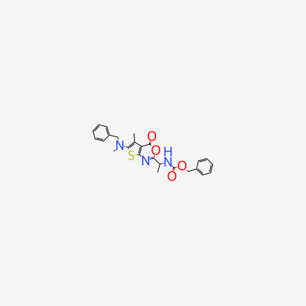 Cc1c(N(C)Cc2ccccc2)sc2nc(C(C)NC(=O)OCc3ccccc3)oc(=O)c12